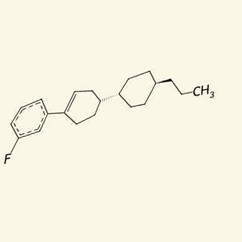 CCC[C@H]1CC[C@H](C2CC=C(c3cccc(F)c3)CC2)CC1